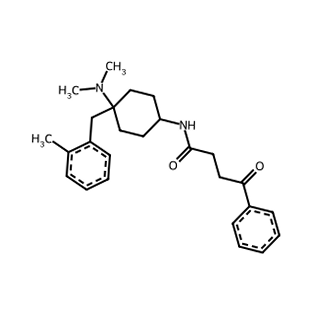 Cc1ccccc1CC1(N(C)C)CCC(NC(=O)CCC(=O)c2ccccc2)CC1